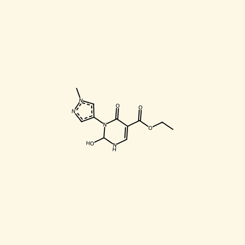 CCOC(=O)C1=CNC(O)N(c2cnn(C)c2)C1=O